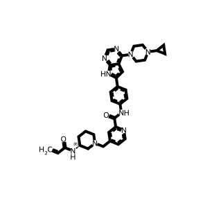 C=CC(=O)N[C@@H]1CCCN(Cc2ccnc(C(=O)Nc3ccc(-c4cc5c(N6CCN(C7CC7)CC6)ncnc5[nH]4)cc3)c2)C1